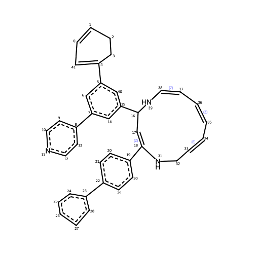 C1=CCCC(c2cc(-c3ccncc3)cc(C3/C=C(/c4ccc(-c5ccccc5)cc4)NC/C=C/C=C\C=C/N3)c2)=C1